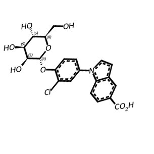 O=C(O)c1ccc2c(ccn2-c2ccc(O[C@H]3O[C@H](CO)[C@@H](O)[C@H](O)[C@@H]3O)c(Cl)c2)c1